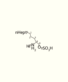 CCCCCCCCCCC(N)COS(=O)(=O)O.I